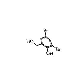 OCc1cc(Br)cc(Br)c1O